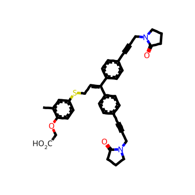 Cc1cc(SCC=C(c2ccc(C#CCN3CCCC3=O)cc2)c2ccc(C#CCN3CCCC3=O)cc2)ccc1OCC(=O)O